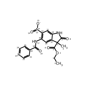 CCOC(=O)C1(C)C(=O)Nc2cc([N+](=O)[O-])c(NC(=O)c3ccncc3)cc21